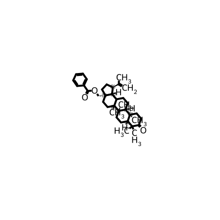 C=C(C)[C@@H]1CC[C@]2(COC(=O)c3ccccc3)CC[C@]3(C)C(CC[C@@H]4[C@@]5(C)CCC(=O)C(C)(C)[C@@H]5CC[C@]43C)[C@@H]12